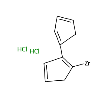 Cl.Cl.[Zr][C]1=C(C2=CC=CC2)C=CC1